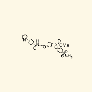 COC(=O)C(Cc1ccc(OCCNC(=O)c2ccc(-c3ccccn3)cc2)cc1)Oc1ccc(S(C)(=O)=O)cc1